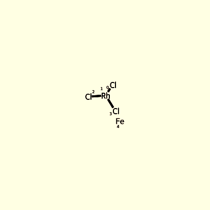 [Cl][Rh]([Cl])[Cl].[Fe]